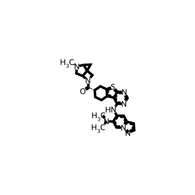 CN(C)c1cn2nccc2cc1Nc1ncnc2sc3c(c12)CC[C@H](C(=O)N1CC24CC2N(C)CC14)C3